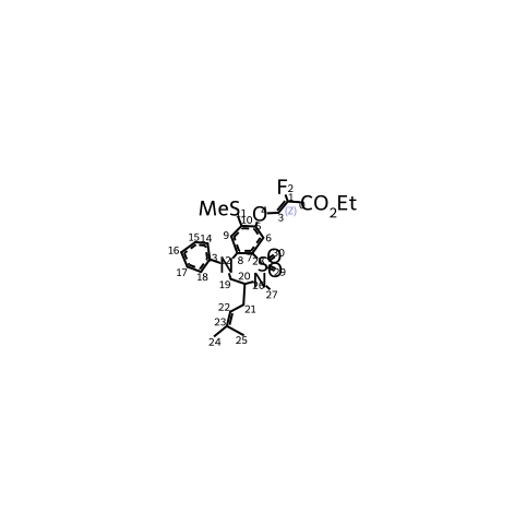 CCOC(=O)/C(F)=C/Oc1cc2c(cc1SC)N(c1ccccc1)CC(CC=C(C)C)N(C)S2(=O)=O